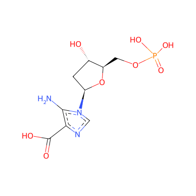 Nc1c(C(=O)O)ncn1[C@H]1C[C@H](O)[C@@H](COP(=O)(O)O)O1